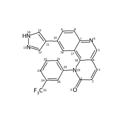 O=c1ccc2cnc3ccc(-c4cn[nH]c4)cc3c2n1-c1cccc(C(F)(F)F)c1